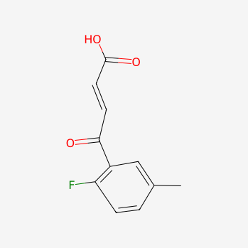 Cc1ccc(F)c(C(=O)/C=C/C(=O)O)c1